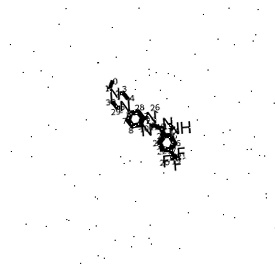 CCN1CCN(c2ccc3nc(-c4n[nH]c5cc(C(F)(F)F)ccc45)n(C)c3c2)CC1